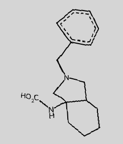 O=C(O)NC12CCCCC1CN(Cc1ccccc1)C2